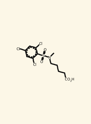 CN(CCCCC(=O)O)S(=O)(=O)c1c(Cl)cc(Cl)cc1Cl